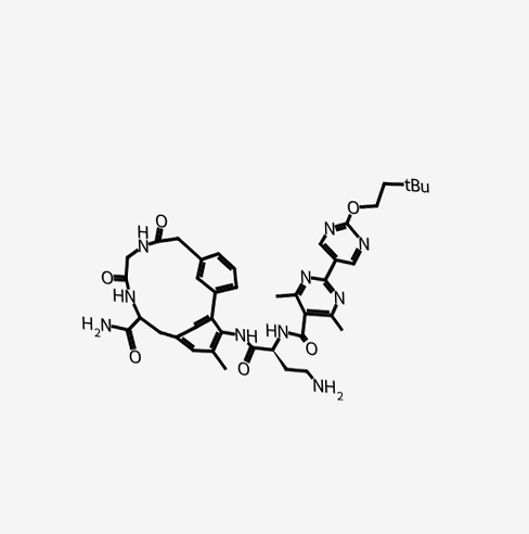 Cc1cc2cc(c1NC(=O)[C@H](CCN)NC(=O)c1c(C)nc(-c3cnc(OCCC(C)(C)C)nc3)nc1C)-c1cccc(c1)CC(=O)NCC(=O)NC(C(N)=O)C2